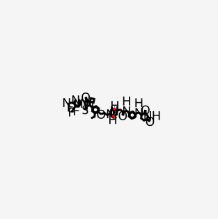 CCc1cc(N2C(=S)N(c3cnc(C#N)c(C(F)(F)F)c3)C(=O)C23CCC3)ccc1OCCN1C[C@H]2CC[C@@H]1CN2CC(=O)Nc1cccc(NC2CCC(=O)NC2=O)c1